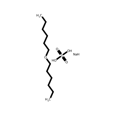 CCCCCCOCCCCCC.O=S(=O)(O)O.[NaH]